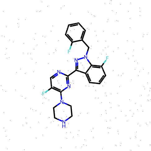 Fc1ccccc1Cn1nc(-c2ncc(F)c(N3CCNCC3)n2)c2cccc(F)c21